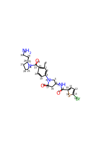 Cc1cc(N2CC(NC(=O)c3ccc(Br)s3)CC2=O)ccc1C(=O)N1CCC[C@H]1CCN